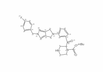 CC(C)(C)OC(=O)N1CCNCC1C(=O)c1cccc(N2Cc3cn(Cc4ccc(F)cc4)nc3C2)c1